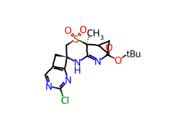 CC(C)(C)OC(=O)/N=C1/N[C@@]2(Cc3cnc(Cl)nc32)CS(=O)(=O)[C@@]1(C)C1CC1